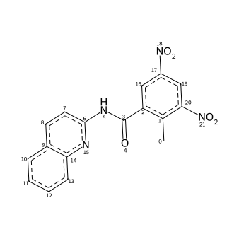 Cc1c(C(=O)Nc2ccc3ccccc3n2)cc([N+](=O)[O-])cc1[N+](=O)[O-]